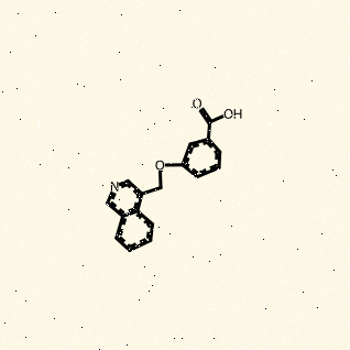 O=C(O)c1cccc(OCc2cncc3ccccc23)c1